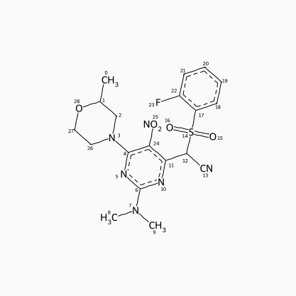 CC1CN(c2nc(N(C)C)nc(C(C#N)S(=O)(=O)c3ccccc3F)c2[N+](=O)[O-])CCO1